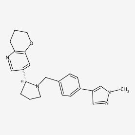 Cn1cc(-c2ccc(CN3CCC[C@@H]3c3cnc4c(c3)OCCC4)cc2)cn1